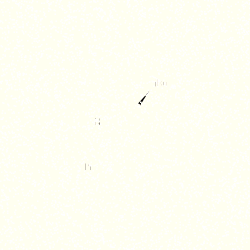 CC[C@H](C)c1ccc(C(C)C)nc1